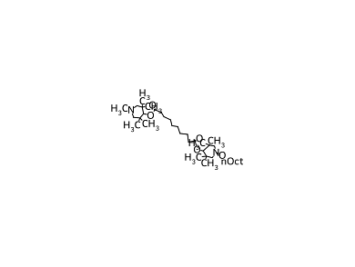 CCCCCCCCON1CC(C)(C)C(OC(=O)CCCCCCCCC(=O)OC2C(C)(C)CN(C)CC2(C)C)C(C)(C)C1